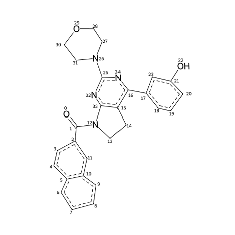 O=C(c1ccc2ccccc2c1)N1CCc2c(-c3cccc(O)c3)nc(N3CCOCC3)nc21